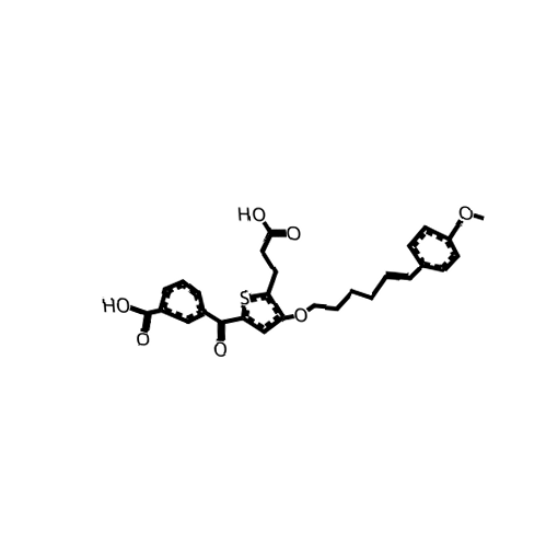 COc1ccc(C=CCCCCOc2cc(C(=O)c3cccc(C(=O)O)c3)sc2CCC(=O)O)cc1